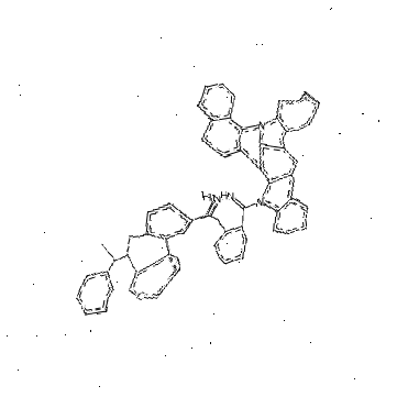 CC(c1ccccc1)C1Cc2ccc(C(=N)c3ccccc3C(=N)n3c4ccccc4c4cc5c6ccccc6n6c7c8ccccc8ccc7c(c43)c56)cc2-c2ccccc21